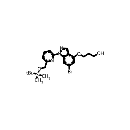 CC(C)(C)[Si](C)(C)OCc1cccc(-n2ncc3c(OCCCO)cc(Br)cc32)n1